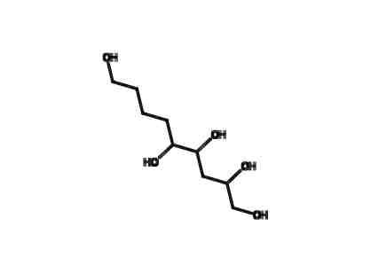 OCCCCC(O)C(O)CC(O)CO